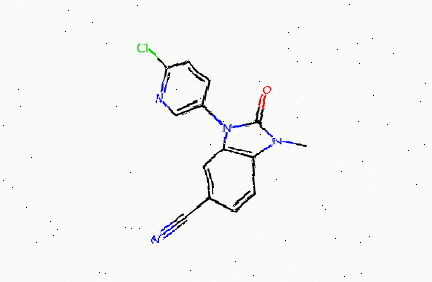 Cn1c(=O)n(-c2ccc(Cl)nc2)c2cc(C#N)ccc21